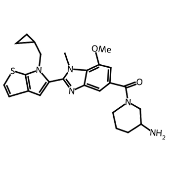 COc1cc(C(=O)N2CCCC(N)C2)cc2nc(-c3cc4ccsc4n3CC3CC3)n(C)c12